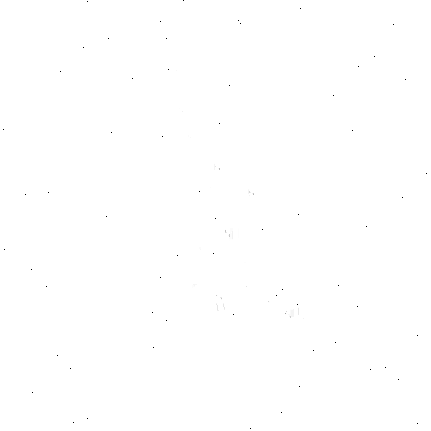 CC(C)(N)C(=O)N[C@H](Cc1ccccc1)C(=O)Nc1cn(C(C(=O)N2CCCC2)c2ccccc2)cn1